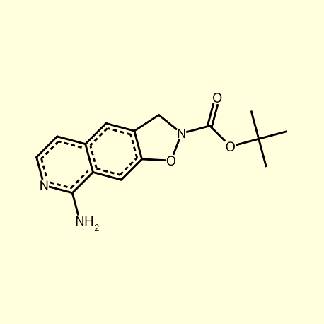 CC(C)(C)OC(=O)N1Cc2cc3ccnc(N)c3cc2O1